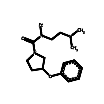 CCN(CCN(C)C)C(=O)N1CCC(Oc2ccccc2)C1